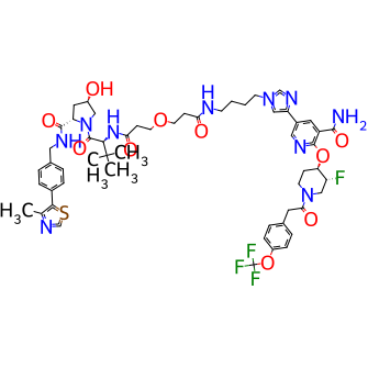 Cc1ncsc1-c1ccc(CNC(=O)[C@@H]2C[C@@H](O)CN2C(=O)[C@@H](NC(=O)CCOCCC(=O)NCCCCn2cnc(-c3cnc(O[C@@H]4CCN(C(=O)Cc5ccc(OC(F)(F)F)cc5)C[C@H]4F)c(C(N)=O)c3)c2)C(C)(C)C)cc1